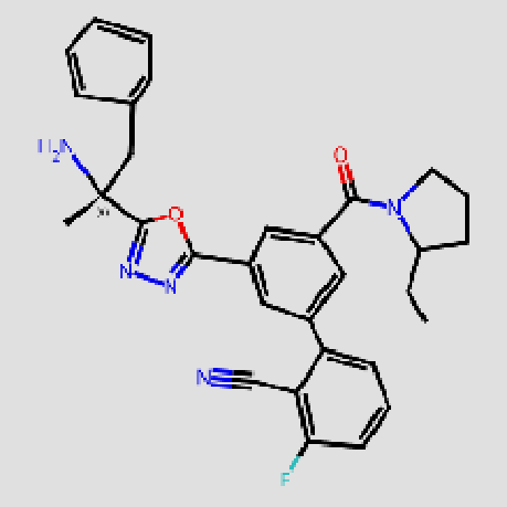 CCC1CCCN1C(=O)c1cc(-c2nnc([C@](C)(N)Cc3ccccc3)o2)cc(-c2cccc(F)c2C#N)c1